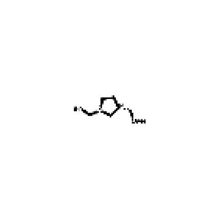 COC[C@H]1CCN(CC(C)C)C1